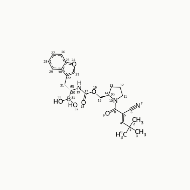 CC(C)(C)C=C(C#N)C(=O)N1CCC[C@@H]1COC(=O)N[C@@H](Cc1coc2ccccc12)B(O)O